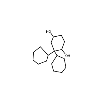 OC1CCC(O)C(C2CCCCC2)(C2CCCCC2)C1